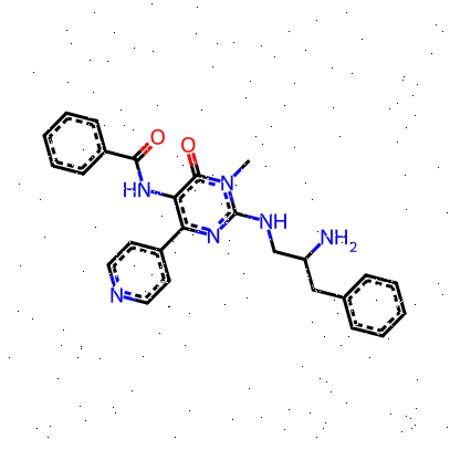 Cn1c(NCC(N)Cc2ccccc2)nc(-c2ccncc2)c(NC(=O)c2ccccc2)c1=O